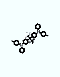 Cc1ccc(N(c2ccccc2)c2ccc(C(c3ccc(N(c4ccccc4)c4ccc(C)cc4)cc3)(C(F)(F)F)C(F)(F)F)cc2)cc1